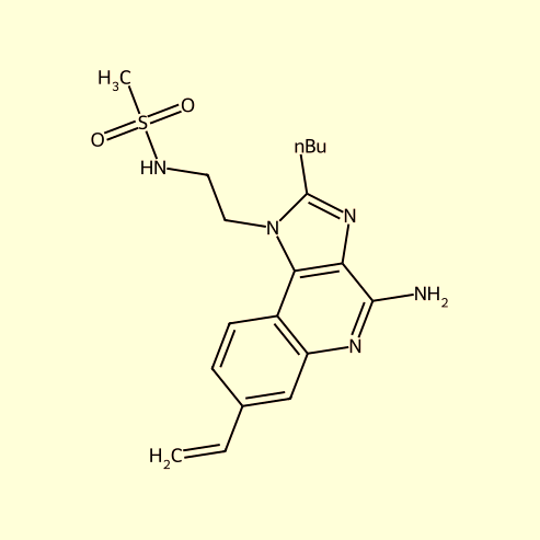 C=Cc1ccc2c(c1)nc(N)c1nc(CCCC)n(CCNS(C)(=O)=O)c12